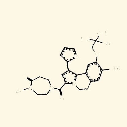 CCCCN1CCN(C(=O)c2cc(-c3cccs3)c3n2CCc2cc(OC)c(OCC(C)(C)O)cc2-3)CCC1=O